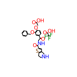 O=C(O)C(F)(F)F.O=C(O)COc1ccc(C(=O)CNC(=O)c2cc3c(s2)CCNC3)cc1OCc1ccccc1